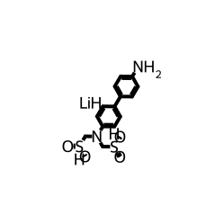 Nc1ccc(-c2ccc(N(C[SH](=O)=O)C[SH](=O)=O)cc2)cc1.[LiH]